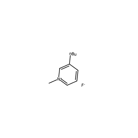 CCCCc1ccc[n+](C)c1.[F-]